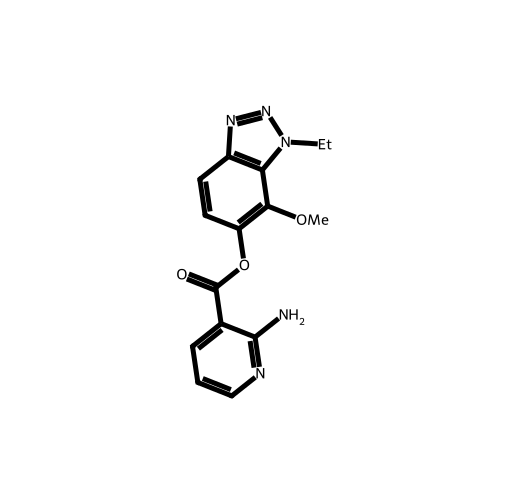 CCn1nnc2ccc(OC(=O)c3cccnc3N)c(OC)c21